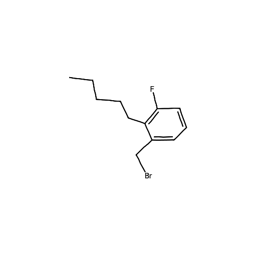 CCCCCc1c(F)cccc1CBr